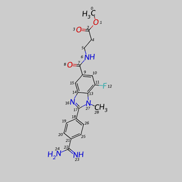 COC(=O)CCNC(=O)c1cc(F)c2c(c1)nc(-c1ccc(C(=N)N)cc1)n2C